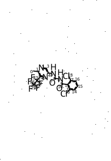 Cc1ncc(NC(=O)NC(=O)c2c(Cl)cccc2Cl)nc1C(F)(F)C(F)(F)F